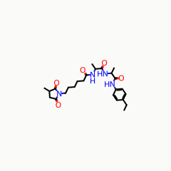 CCc1ccc(NC(=O)C(C)NC(=O)C(C)NC(=O)CCCCCN2C(=O)CC(C)C2=O)cc1